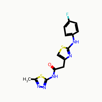 Cc1nnc(NC(=O)Cc2csc(Nc3ccc(F)cc3)n2)s1